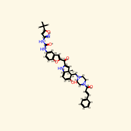 CC(C)(C)c1cc(NC(=O)Nc2ccc3oc(C(=O)C4=C[C@@]5(C)C(=CC=C(O)C5CN5CCN(C(=O)/C=C/c6ccccc6)CC5)N4)cc3c2)no1